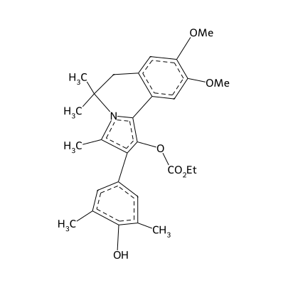 CCOC(=O)Oc1c(-c2cc(C)c(O)c(C)c2)c(C)n2c1-c1cc(OC)c(OC)cc1CC2(C)C